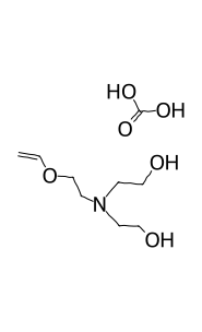 C=COCCN(CCO)CCO.O=C(O)O